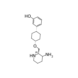 NC1CCCN[C@H]1CO[C@H]1CC[C@@H](c2cccc(O)c2)CC1